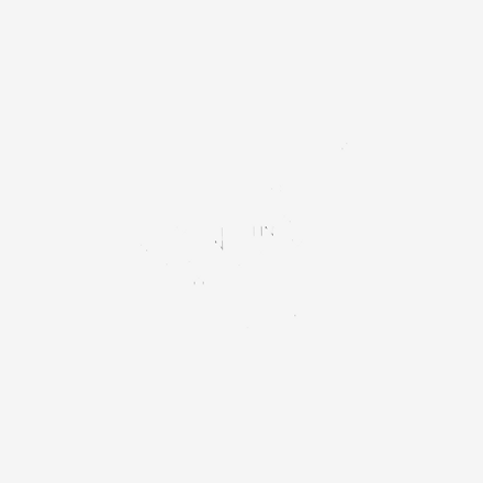 O=S(=O)(Nc1cc(Cl)c(Cl)cc1NS(=O)(=O)c1cccc(Cl)c1F)c1cccs1